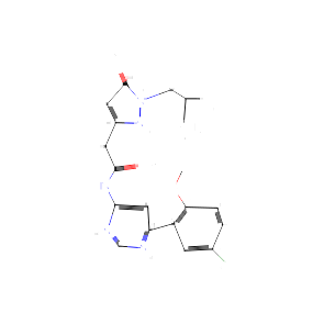 COc1ccc(F)cc1-c1cc(NC(=O)Cc2cc(=O)n(CC(C)C)[nH]2)ncn1